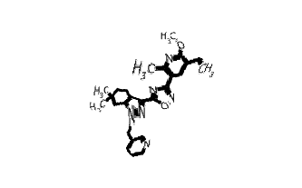 CCc1cc(-c2noc(-c3nn(Cc4cccnc4)c4c3CCC(C)(C)C4)n2)c(C)nc1OC